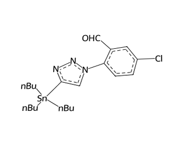 CCC[CH2][Sn]([CH2]CCC)([CH2]CCC)[c]1cn(-c2ccc(Cl)cc2C=O)nn1